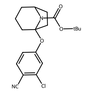 CC(C)(C)OC(=O)N1C2CCCC1(Oc1ccc(C#N)c(Cl)c1)CC2